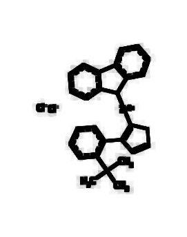 CC(C)(C)c1ccccc1C1=[C]([Zr+2][CH]2c3ccccc3-c3ccccc32)CC=C1.[Cl-].[Cl-]